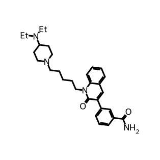 CCN(CC)C1CCN(CCCCCn2c(=O)c(-c3cccc(C(N)=O)c3)cc3ccccc32)CC1